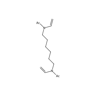 C=CN(CCCCCCN(C=C)C(C)=O)C(C)=O